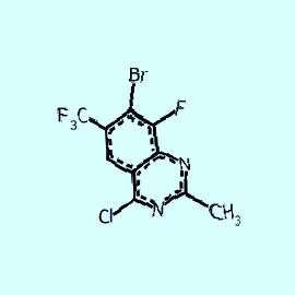 Cc1nc(Cl)c2cc(C(F)(F)F)c(Br)c(F)c2n1